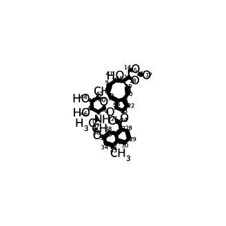 CN[C@H]1[C@@H](O[C@@H]2/C3=C/C#C[C@H]4O[C@@]4([C@H]4COC(=O)O4)C#CC3=C[C@H]2OC(=O)c2cccc3c(C)cc(OC)cc23)O[C@H](C)[C@H](O)[C@@H]1O